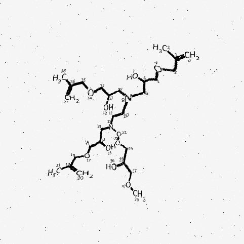 C=C(C)COCC(O)CN(CCN(CC(O)COCC(=C)C)OOCC(O)COC)CC(O)COCC(=C)C